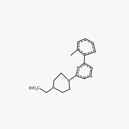 CCOC(=O)CN1CCN(c2cncc(-c3ccccc3C)n2)CC1